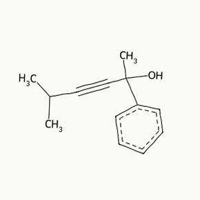 CC(C)C#CC(C)(O)c1ccccc1